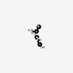 NC(=O)c1cc(-c2cccnc2)ccc1OC1CCN(C(=O)Cc2ccc(O)cc2)CC1